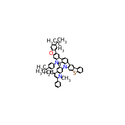 C=C1C=C(c2ccccc2)N(C)c2cc3c(cc21)B1c2c(ccc4c5cc6c(cc5n-3c24)sc2ccccc26)-c2cc3c(cc2N1c1ccc(C(C)(C)C)cc1)oc1ccc(C(C)(C)C)cc13